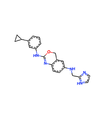 c1cc(NC2=Nc3ccc(NCc4ncc[nH]4)cc3CO2)cc(C2CC2)c1